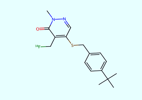 Cn1ncc(SCc2ccc(C(C)(C)C)cc2)c(C[18F])c1=O